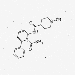 N#CB1CCC(C(=O)Nc2cccc(-c3ccccc3)c2C(N)=O)CC1